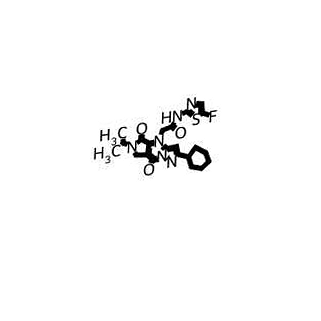 CC(C)N1Cc2c(n(CC(=O)Nc3ncc(F)s3)c3cc(C4CCCCC4)nn3c2=O)C1=O